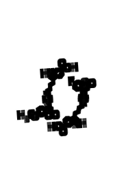 COc1ccc2c(N3CCN(CCCCc4c[nH]c5cc(C(=O)O)ccc45)CC3)cc(=O)oc2c1.O=C(O)c1ccc2c(CCCCN3CCN(c4cc(=O)oc5cc(F)ccc45)CC3)c[nH]c2c1